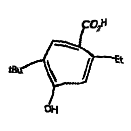 CCc1cc(O)c(C(C)(C)C)cc1C(=O)O